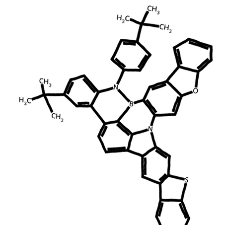 CC(C)(C)c1ccc(N2B3c4cc5c(cc4-n4c6cc7sc8ccccc8c7cc6c6ccc(c3c64)-c3cc(C(C)(C)C)ccc32)oc2ccccc25)cc1